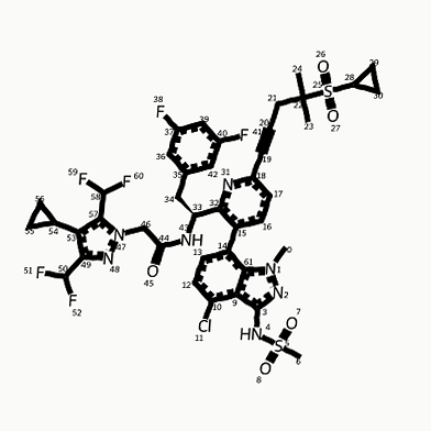 Cn1nc(NS(C)(=O)=O)c2c(Cl)ccc(-c3ccc(C#CCC(C)(C)S(=O)(=O)C4CC4)nc3[C@H](Cc3cc(F)cc(F)c3)NC(=O)Cn3nc(C(F)F)c(C4CC4)c3C(F)F)c21